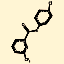 O=C(Sc1ccc(Cl)cc1)c1cccc(C(F)(F)F)n1